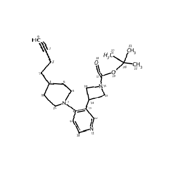 C#CCCC1CCN(c2ccncc2C2CN(C(=O)OC(C)(C)C)C2)CC1